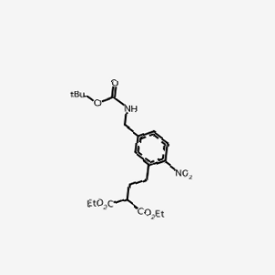 CCOC(=O)C(CCc1cc(CNC(=O)OC(C)(C)C)ccc1[N+](=O)[O-])C(=O)OCC